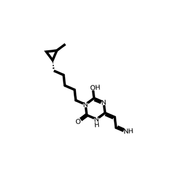 CC1C[C@H]1CCCCCN1C(=O)N/C(=C\C=N)N=C1O